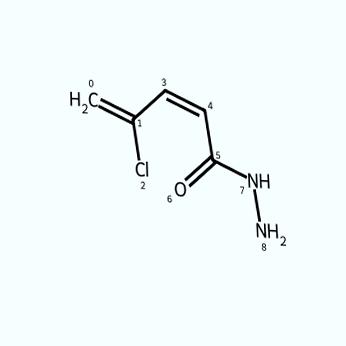 C=C(Cl)/C=C\C(=O)NN